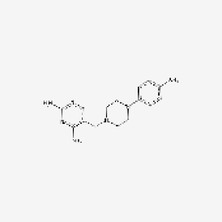 Cc1ccc(N2CCN(Cc3cnc(N)nc3N)CC2)cc1